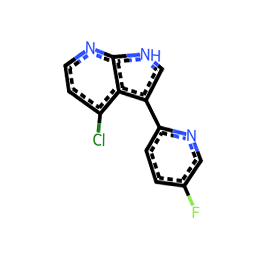 Fc1ccc(-c2c[nH]c3nccc(Cl)c23)nc1